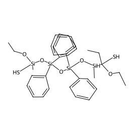 CCOC(S)(CC)[SiH](C)O[Si](O[Si](O[Si](C)(S)OCC)(c1ccccc1)c1ccccc1)(c1ccccc1)c1ccccc1